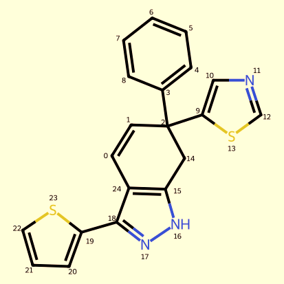 C1=CC(c2ccccc2)(c2cncs2)Cc2[nH]nc(-c3cccs3)c21